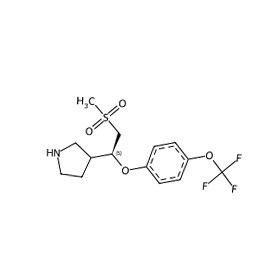 CS(=O)(=O)C[C@@H](Oc1ccc(OC(F)(F)F)cc1)C1CCNC1